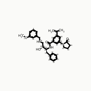 COc1cccc(CNC[C@@H](O)[C@H](Cc2ccccc2)NC(=O)c2cc(C(C)C)cc(N3CCCC3=O)c2)c1